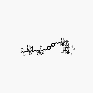 COC(=O)[C@@H](CCCCNC(=O)[C@H](N)CCC(=O)C(C)=O)NC(=O)CCc1ccc(-c2ccc(CCCCNC(=N)NC(=O)c3nc(Cl)c(N)nc3N)cc2)cc1